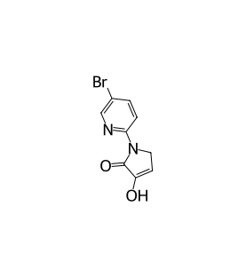 O=C1C(O)=CCN1c1ccc(Br)cn1